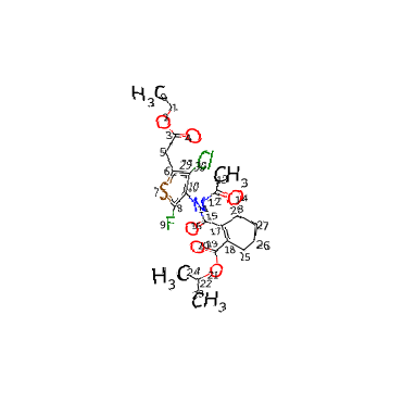 CCOC(=O)Cc1sc(F)c(N(C(C)=O)C(=O)C2=C(C(=O)OC(C)C)CCCC2)c1Cl